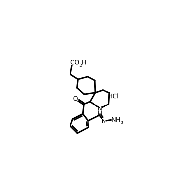 Cl.NN=Cc1ccccc1C(=O)C1NCCCC12CCC(CC(=O)O)CC2